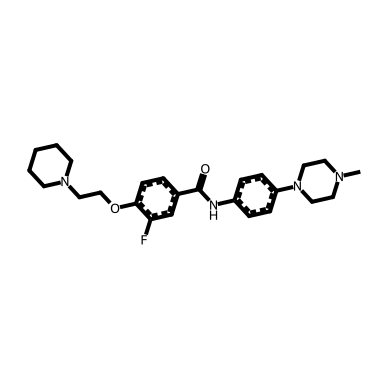 CN1CCN(c2ccc(NC(=O)c3ccc(OCCN4CCCCC4)c(F)c3)cc2)CC1